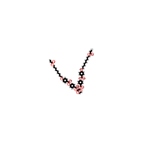 C=CC(=O)OCCCCCCCCCOc1ccc(C(=O)Oc2ccc(C(=O)O[C@@H]3OCCO[C@H]3OC(=O)c3ccc(OC(=O)c4ccc(OCCCCCCCCCOC(=O)C=C)cc4)cc3)cc2)cc1